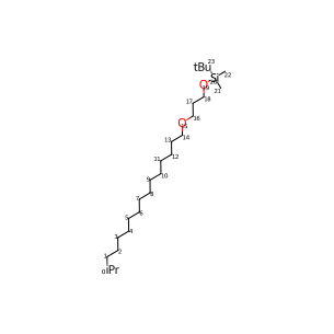 CC(C)CCCCCCCCCCCCCCOCCCO[Si](C)(C)C(C)(C)C